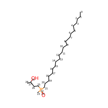 CCCCCCCCCCCCCCCCCCCCCCP(C)(=O)CCC(C)O